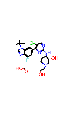 CC(C)(C)n1cnc2c(F)cc(-c3nc(N[C@@H]4CCN(CCO)C[C@H]4O)ncc3Cl)cc21.O=CO